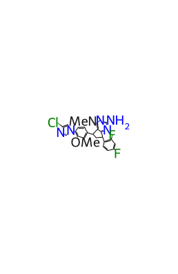 CNc1nc(N)nc2c1C(c1ccc(-n3cnc(Cl)c3)c(OC)c1)CC2c1ccc(F)cc1F